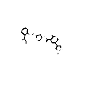 CCC(C)c1ccccc1OC[C@@H]1C[C@H](NC(=O)c2cc(-c3cnn(C)c3)cnc2N)CN1